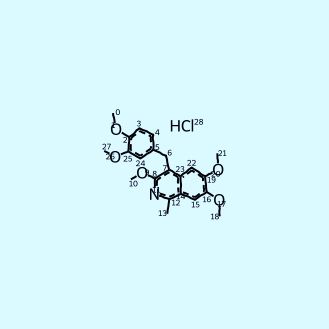 COc1ccc(Cc2c(OC)nc(C)c3cc(OC)c(OC)cc23)cc1OC.Cl